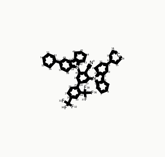 N#Cc1c(-n2c3ccccc3c3cc(-c4ccccc4)ccc32)cc(-c2ccc(C(F)(F)F)cc2C(F)(F)F)cc1-n1c2ccccc2c2cc(-c3ccccc3)ccc21